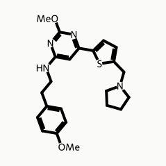 COc1ccc(CCNc2cc(-c3ccc(CN4CCCC4)s3)nc(OC)n2)cc1